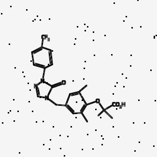 Cc1cc(Cn2cnn(-c3ccc(C(F)(F)F)cc3)c2=O)cc(C)c1OC(C)(C)C(=O)O